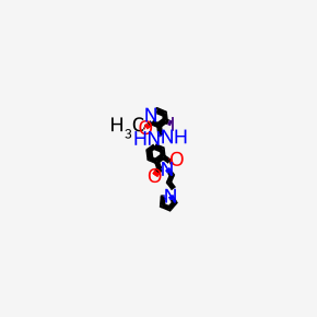 COc1nccc(I)c1C(=N)Nc1ccc2c(c1)C(=O)N(CCCN1CCCC1)C2=O